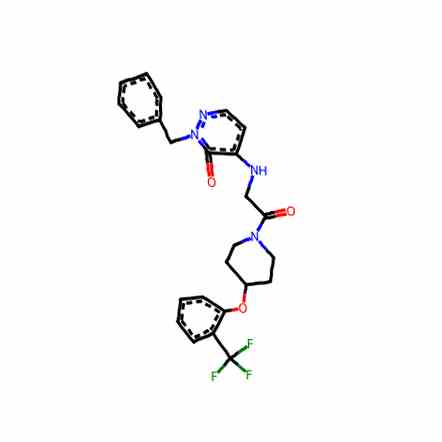 O=C(CNc1ccnn(Cc2ccccc2)c1=O)N1CCC(Oc2ccccc2C(F)(F)F)CC1